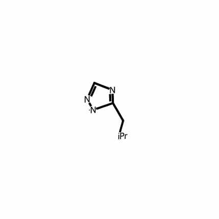 CC(C)CC1=NC=N[N]1